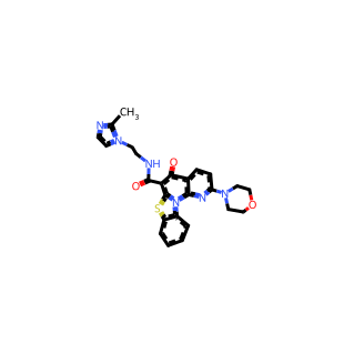 Cc1nccn1CCNC(=O)c1c(=O)c2ccc(N3CCOCC3)nc2n2c1sc1ccccc12